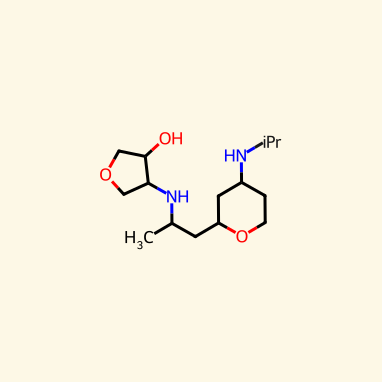 CC(C)NC1CCOC(CC(C)NC2COCC2O)C1